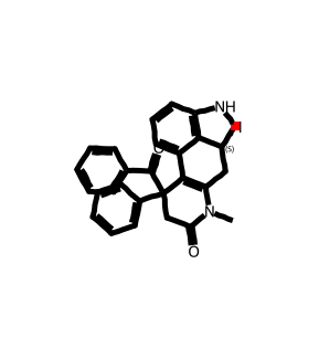 CN1C(=O)CC(C(=O)c2ccccc2)(c2ccccc2)C2=C1C[C@@H]1CNc3cccc2c31